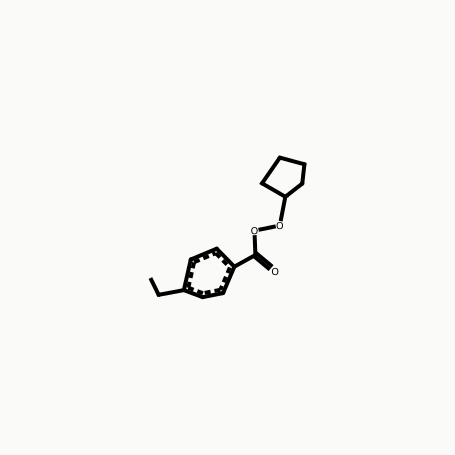 CCc1ccc(C(=O)OO[C]2CCCC2)cc1